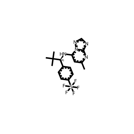 Cc1cc(N[C@@H](c2ccc(S(F)(F)(F)(F)F)cc2)C(C)(C)C)n2ncnc2n1